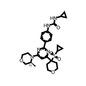 C[C@H]1COCCN1c1cc(C2(S(=O)(=O)C3CC3)CCOCC2)nc(-c2ccc(NC(=O)NC3CC3)cc2)n1